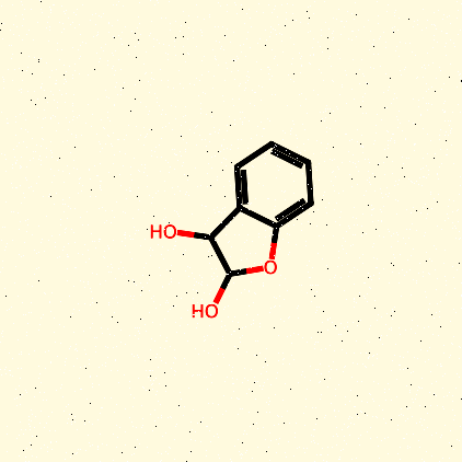 OC1Oc2ccccc2C1O